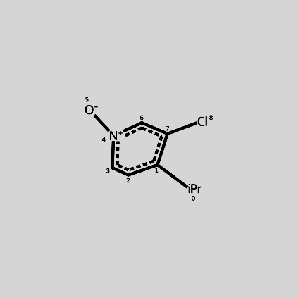 CC(C)c1cc[n+]([O-])cc1Cl